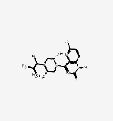 C=C(C(CC)N1C[C@H](C)N(c2nc(=O)n(C)c3ccc(C#N)nc23)C[C@H]1C)C(F)(F)F